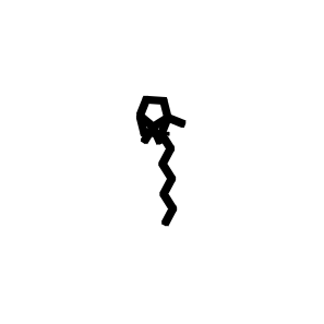 CCCCCC[C]1CC2CCC1(C)C2(C)C